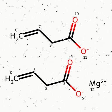 C=CCC(=O)[O-].C=CCC(=O)[O-].[Mg+2]